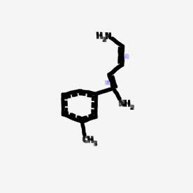 Cc1cccc(/C(N)=C/C=C\N)c1